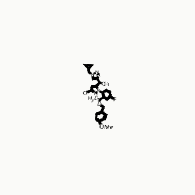 COc1ccc(CO[C@H](C)c2cc(F)ccc2-n2nc(Cl)cc2C(O)c2cn(CC3CC3)nn2)cc1